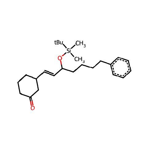 CC(C)(C)[Si](C)(C)OC(C=CC1CCCC(=O)C1)CCCCc1ccccc1